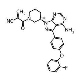 C=C(C#N)C(=O)N1CCC[C@@H](n2nc(-c3ccc(Oc4ccccc4F)cc3)c3c(N)ncnc32)C1